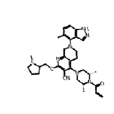 C=CC(=O)N1[C@H](C)CN(c2c(C#N)c(OCC3CCCN3C)nc3c2CCN(c2c(C)ccc4[nH]ncc24)C3)C[C@@H]1C